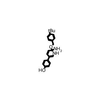 CC(C)(C)c1ccc(COC2(N)C=CC(c3ccc(O)cc3)=CN2)cc1